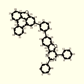 c1ccc(-c2nc(-c3ccccc3)c3oc4cc(-c5cccc(-c6cc7oc8cccc9c%10ccccc%10c(c6)c7c89)c5)ccc4c3n2)cc1